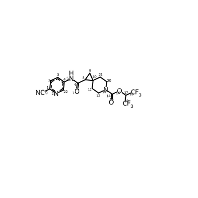 N#Cc1ccc(NC(=O)C2CC23CCN(C(=O)OC(C(F)(F)F)C(F)(F)F)CC3)cn1